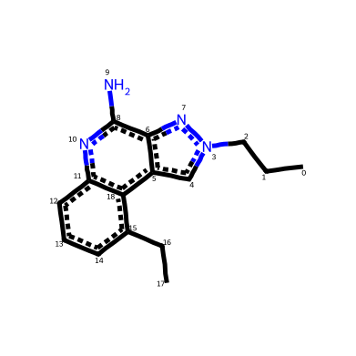 CCCn1cc2c(n1)c(N)nc1cccc(CC)c12